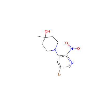 CC1(O)CCN(c2cc(Br)cnc2[N+](=O)[O-])CC1